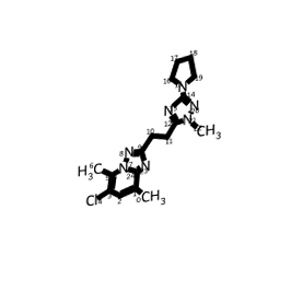 Cc1cc(Cl)c(C)n2nc(CCc3nc(N4CCCC4)nn3C)nc12